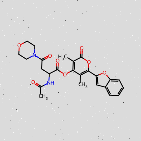 CC(=O)NC(CC(=O)N1CCOCC1)C(=O)Oc1c(C)c(-c2cc3ccccc3o2)oc(=O)c1C